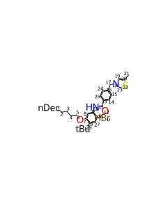 Br.CCCCCCCCCCCCCCOc1cc(NC(=O)c2ccc(CN3C=C(C)SC3)cc2)ccc1C(C)(C)C